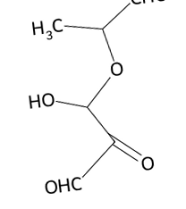 CC(C=O)OC(O)C(=O)C=O